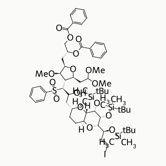 COC(C[C@@H]1O[C@H](C[C@H](COC(=O)c2ccccc2)OC(=O)c2ccccc2)[C@H](OC)[C@H]1[C@@H](C(O)C[C@H]1CC[C@@H]2O[C@@H]([C@H](/C=C/I)O[Si](C)(C)C(C)(C)C)[C@@H](O[Si](C)(C)C(C)(C)C)[C@@H](O[Si](C)(C)C(C)(C)C)[C@H]2O1)S(=O)(=O)c1ccccc1)OC